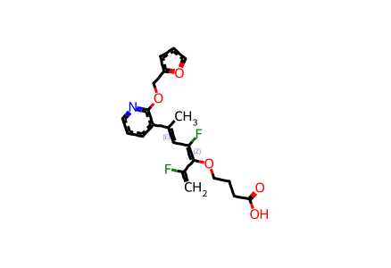 C=C(F)/C(OCCCC(=O)O)=C(F)\C=C(/C)c1cccnc1OCc1ccco1